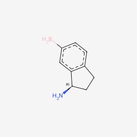 Bc1ccc2c(c1)[C@H](N)CC2